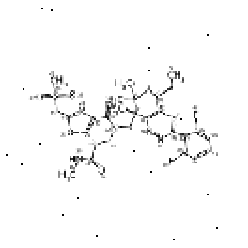 CC[C@@H]1CC(C)(C)[C@@](C)(CN(CCC(=O)NC)C(=O)c2coc(CS(C)(=O)=O)n2)c2nnc(-c3c(F)cccc3F)cc21